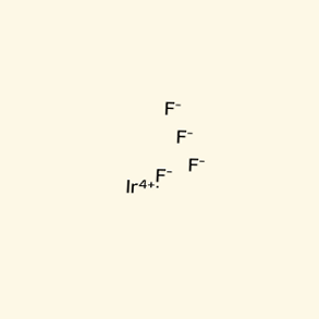 [F-].[F-].[F-].[F-].[Ir+4]